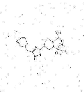 CC(C)(C)C1CC(c2n[nH]c(Cc3ccccc3)n2)CCN1C(=O)O